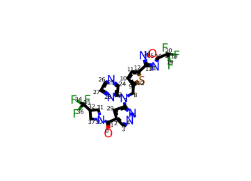 O=C(c1cnnc(N(Cc2ccc(-c3noc(C(F)(F)F)n3)s2)c2cnccn2)c1)N1CC(C(F)(F)F)C1